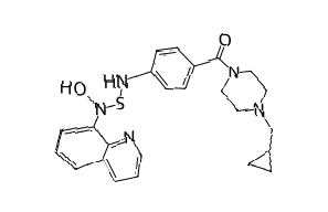 O=C(c1ccc(NSN(O)c2cccc3cccnc23)cc1)N1CCN(CC2CC2)CC1